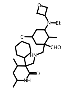 CCN(C1COC1)C1CC(Cl)CC(C=O)(CNCC2(C3CCCCC3)C(=O)NC(C)CC2C)C1C